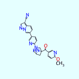 COc1ccc(C(=O)C23CC(CN(c4ccc(-c5ccc6c(C#N)cnn6c5)cn4)C2)N3)cn1